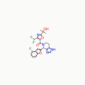 CC(C)(O)c1nc(C(F)F)c(C(=O)N2CCc3[nH]cnc3[C@H]2c2cc3c(F)cccc3o2)o1